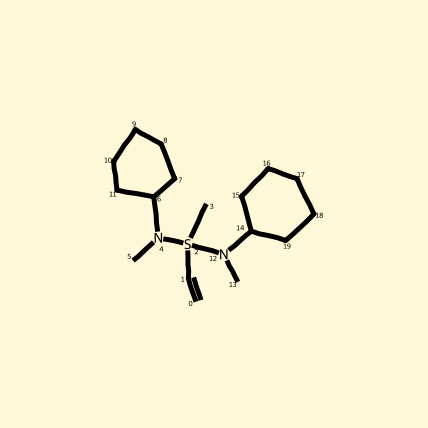 C=CS(C)(N(C)C1CCCCC1)N(C)C1CCCCC1